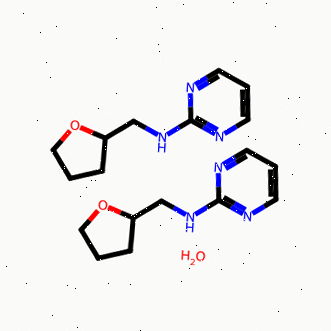 O.c1cnc(NCC2CCCO2)nc1.c1cnc(NCC2CCCO2)nc1